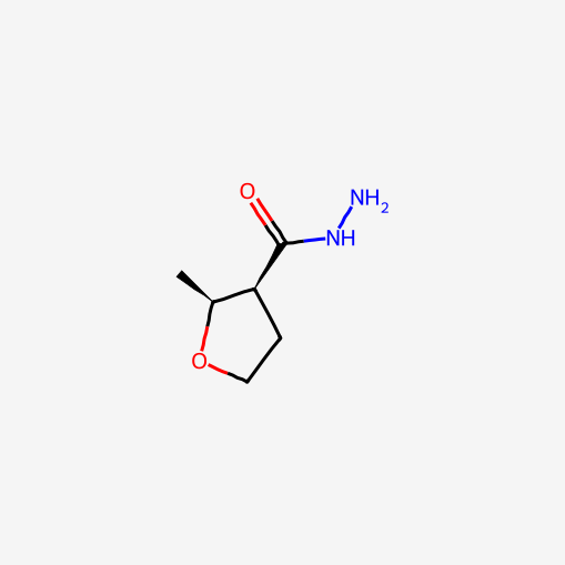 C[C@@H]1OCC[C@@H]1C(=O)NN